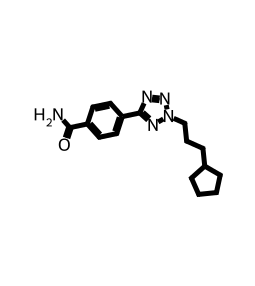 NC(=O)c1ccc(-c2nnn(CCCC3CCCC3)n2)cc1